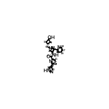 O=C(Nc1cn(C[C@H]2C[C@H](O)C2)nc1-c1ccccn1)c1csc(-c2cn[nH]c2)n1